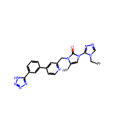 CCCc1cn(-c2nncn2CC(C)C)c(=O)n1Cc1cc(-c2cccc(-c3nnn[nH]3)c2)ccn1